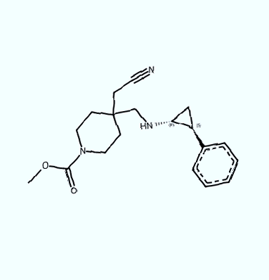 COC(=O)N1CCC(CC#N)(CN[C@@H]2C[C@H]2c2ccccc2)CC1